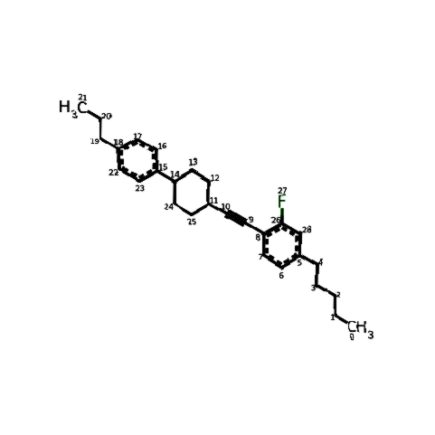 CCCCCc1ccc(C#CC2CCC(c3ccc(CCC)cc3)CC2)c(F)c1